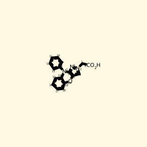 O=C(O)Cn1cc2c(n1)N(c1ccccc1)c1ccccc1O2